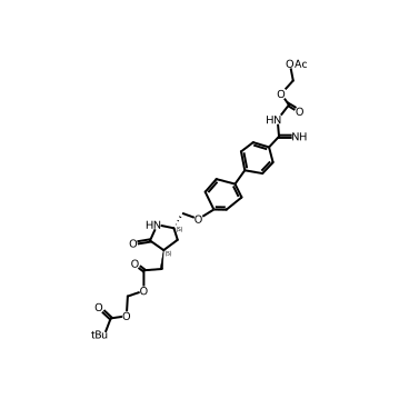 CC(=O)OCOC(=O)NC(=N)c1ccc(-c2ccc(OC[C@@H]3C[C@@H](CC(=O)OCOC(=O)C(C)(C)C)C(=O)N3)cc2)cc1